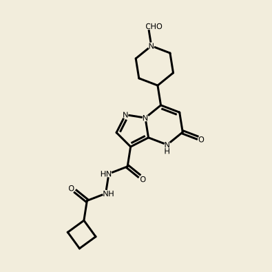 O=CN1CCC(c2cc(=O)[nH]c3c(C(=O)NNC(=O)C4CCC4)cnn23)CC1